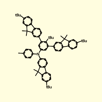 Cc1ccc(N(c2cc(-c3ccc4c(c3)C(C)(C)c3cc(C(C)(C)C)ccc3-4)c(C(C)(C)C)c(-c3ccc4c(c3)C(C)(C)c3cc(C(C)(C)C)ccc3-4)c2)c2ccc3c(c2)C(C)(C)c2cc(C(C)(C)C)ccc2-3)cc1